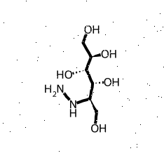 NN[C@H](CO)[C@@H](O)[C@H](O)[C@H](O)CO